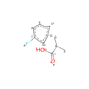 CC(C)C(=O)O.Fc1ccccc1